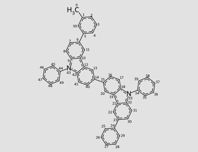 Cc1cccc(-c2ccc3c(c2)c2cc(-c4ccc5c(c4)c4cc(-c6ccccc6)ccc4n5-c4ccccc4)ccc2n3-c2ccccc2)c1